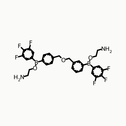 NCCOB(c1ccc(COCc2cccc(B(OCCN)c3cc(F)c(F)c(F)c3)c2)cc1)c1cc(F)c(F)c(F)c1